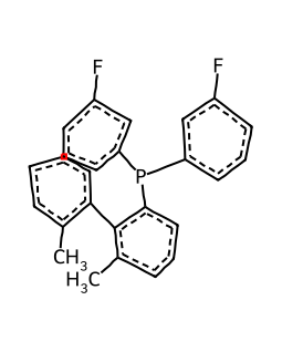 Cc1ccccc1-c1c(C)cccc1P(c1cccc(F)c1)c1cccc(F)c1